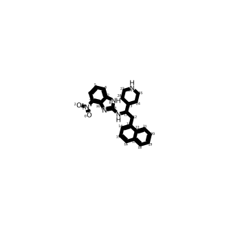 O=[N+]([O-])c1cccc2[nH]c(NC(Cc3cccc4ccccc34)C3CCNCC3)nc12